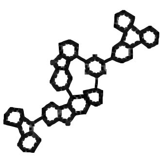 c1ccc(-c2nc(-c3ccc4c5ccccc5c5ccccc5c4c3)nc(-c3cccc4oc5ccc(-c6cccc7oc8cc(-n9c%10ccccc%10c%10ccccc%109)ccc8c67)cc5c34)n2)cc1